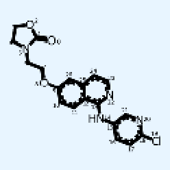 O=C1OCCN1CCOc1ccc2c(Nc3ccc(Cl)nc3)nccc2c1